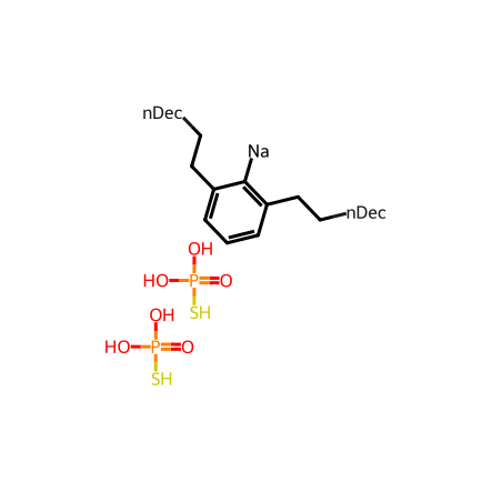 CCCCCCCCCCCCc1cccc(CCCCCCCCCCCC)[c]1[Na].O=P(O)(O)S.O=P(O)(O)S